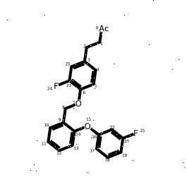 CC(=O)CCc1ccc(OCc2ccccc2Oc2cccc(F)c2)c(F)c1